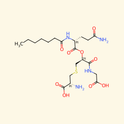 CCCCCCC(=O)N[C@H](CCC(N)=O)C(=O)O[C@H](CSC[C@H](N)C(=O)O)C(=O)NCC(=O)O